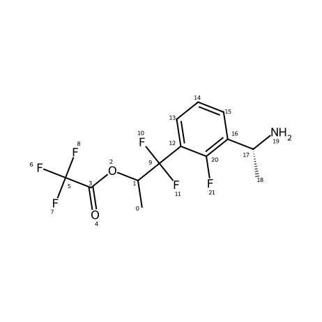 CC(OC(=O)C(F)(F)F)C(F)(F)c1cccc([C@@H](C)N)c1F